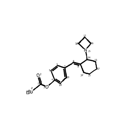 CC(C)(C)C(=O)Oc1ccc(C=C2CCCCC2N2CCC2)cc1